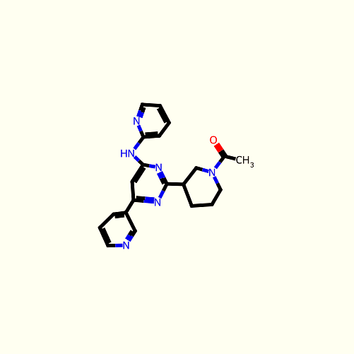 CC(=O)N1CCCC(c2nc(Nc3ccccn3)cc(-c3cccnc3)n2)C1